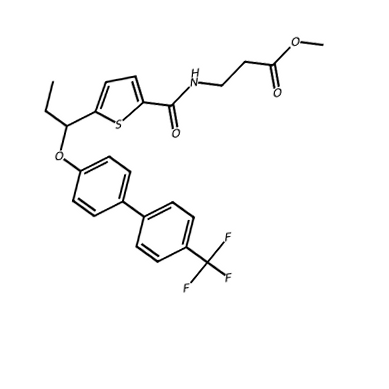 CCC(Oc1ccc(-c2ccc(C(F)(F)F)cc2)cc1)c1ccc(C(=O)NCCC(=O)OC)s1